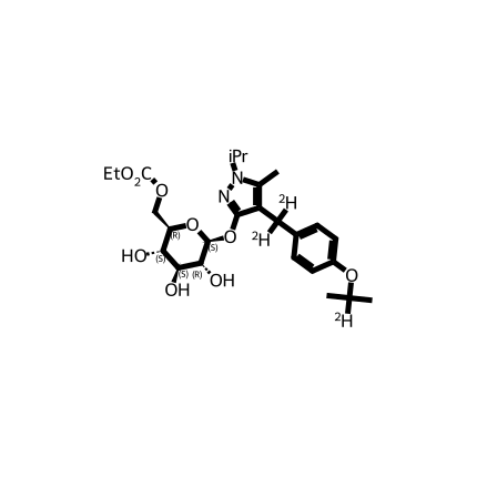 [2H]C(C)(C)Oc1ccc(C([2H])([2H])c2c(O[C@@H]3O[C@H](COC(=O)OCC)[C@@H](O)[C@H](O)[C@H]3O)nn(C(C)C)c2C)cc1